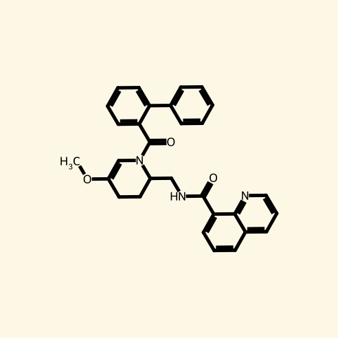 COC1=CN(C(=O)c2ccccc2-c2ccccc2)C(CNC(=O)c2cccc3cccnc23)CC1